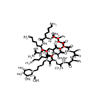 CC(=O)NC(C(=O)NC(C(=O)NC(C(=O)NC(CCCCN)C(=O)NC(CCCCN)C(=O)NC(CCCCN)C(=O)NC(CCCNC(=N)N)C(=O)NC(CCCCN)C(=O)NC(C(=O)NC(C(=O)NC(CSC1CC(=O)N(CCCCN2C[C@H](O)[C@@H](O)[C@@H](O)[C@H]2CO)C1=O)C(=O)O)C(C)C)C(C)C)C(C)C)C(C)C)C(C)C